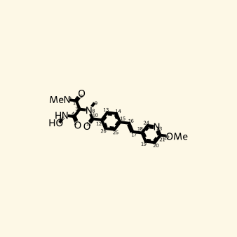 CNC(=O)C(C(=O)NO)N(C)C(=O)c1ccc(/C=C/c2ccc(OC)nc2)cc1